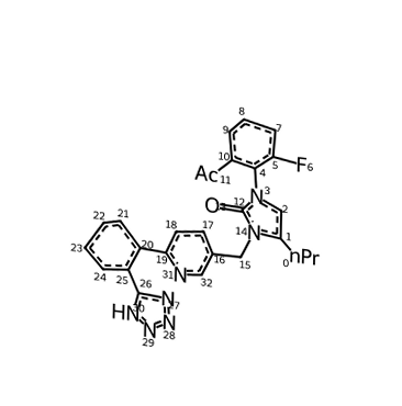 CCCc1cn(-c2c(F)cccc2C(C)=O)c(=O)n1Cc1ccc(-c2ccccc2-c2nnn[nH]2)nc1